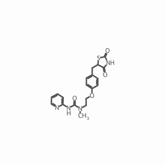 CN(CCOc1ccc(CC2SC(=O)NC2=O)cc1)C(=O)Nc1ccccn1